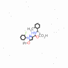 Cc1ccccc1[C@H](CC(=O)O)NC(=O)c1cc(OC(C)C)n(-c2ccccc2F)n1